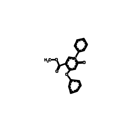 COC(=O)c1cn(-c2ccccc2)c(=O)cc1Oc1ccccc1